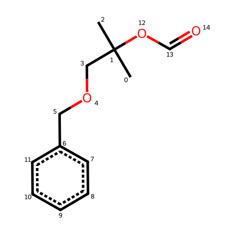 CC(C)(COCc1ccccc1)OC=O